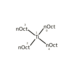 CCCCCCC[CH2][Ti]([CH2]CCCCCCC)([CH2]CCCCCCC)[CH2]CCCCCCC